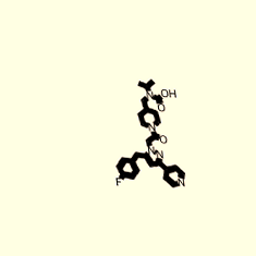 CC(C)N(CC1CCN(C(=O)Cn2nc(-c3ccncc3)cc2Cc2ccc(F)cc2)CC1)C(=O)O